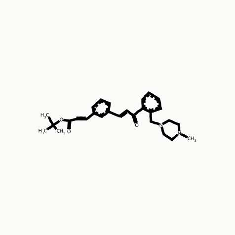 CN1CCN(Cc2ccccc2C(=O)C=Cc2cccc(C=CC(=O)OC(C)(C)C)c2)CC1